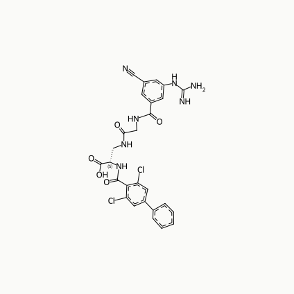 N#Cc1cc(NC(=N)N)cc(C(=O)NCC(=O)NC[C@H](NC(=O)c2c(Cl)cc(-c3ccccc3)cc2Cl)C(=O)O)c1